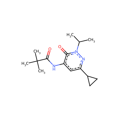 CC(C)n1nc(C2CC2)cc(NC(=O)C(C)(C)C)c1=O